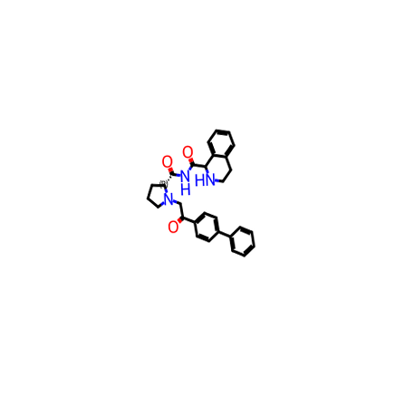 O=C(CN1CCC[C@@H]1C(=O)NC(=O)C1NCCc2ccccc21)c1ccc(-c2ccccc2)cc1